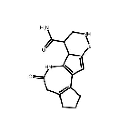 NC(=O)C1CNSC2=CC3=C(NC(=O)CC4=C3CCC4)C21